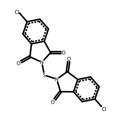 O=C1c2ccc(Cl)cc2C(=O)N1SN1C(=O)c2ccc(Cl)cc2C1=O